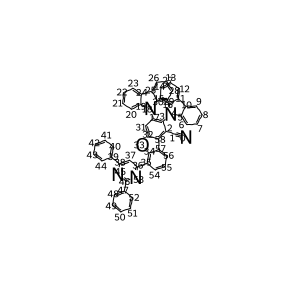 N#Cc1c(-n2c3ccccc3c3ccccc32)c(-n2c3ccccc3c3ccccc32)cc2oc3c(-c4cc(-c5ccccc5)nc(-c5ccccc5)n4)cccc3c12